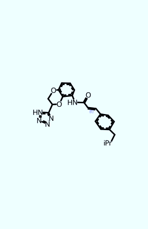 CC(C)Cc1ccc(/C=C/C(=O)Nc2cccc3c2OC(c2nnn[nH]2)CO3)cc1